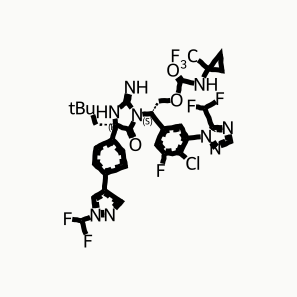 CC(C)(C)C[C@]1(c2ccc(-c3cnn(C(F)F)c3)cc2)NC(=N)N([C@H](COC(=O)NC2(C(F)(F)F)CC2)c2cc(F)c(Cl)c(-n3ncnc3C(F)F)c2)C1=O